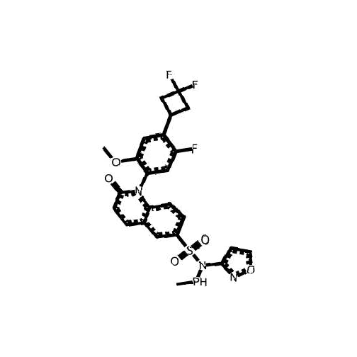 COc1cc(C2CC(F)(F)C2)c(F)cc1-n1c(=O)ccc2cc(S(=O)(=O)N(PC)c3ccon3)ccc21